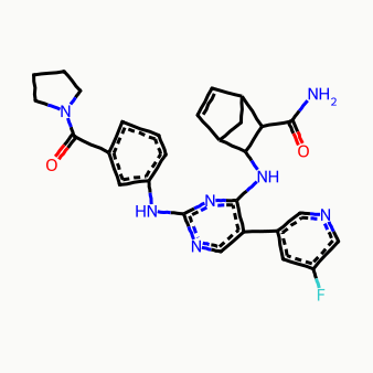 NC(=O)C1C2C=CC(C2)C1Nc1nc(Nc2cccc(C(=O)N3CCCC3)c2)ncc1-c1cncc(F)c1